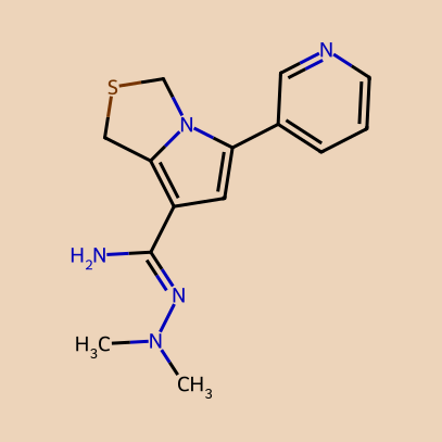 CN(C)N=C(N)c1cc(-c2cccnc2)n2c1CSC2